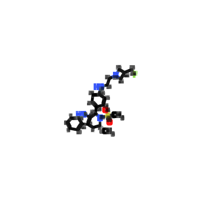 C[C@@H]1Cc2c([nH]c3ccccc23)[C@@H](c2ccc(NCCN3CC(CF)C3)cc2)N1S(C)(=O)=O